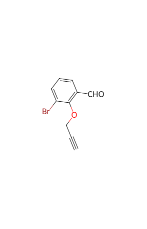 C#CCOc1c(Br)cccc1C=O